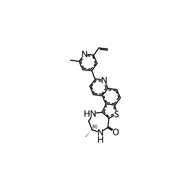 C=Cc1cc(-c2ccc3c(ccc4sc5c(c43)NC[C@@H](C)NC5=O)n2)cc(C)n1